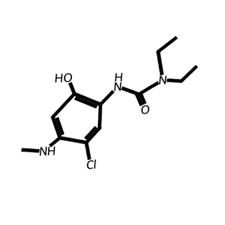 CCN(CC)C(=O)Nc1cc(Cl)c(NC)cc1O